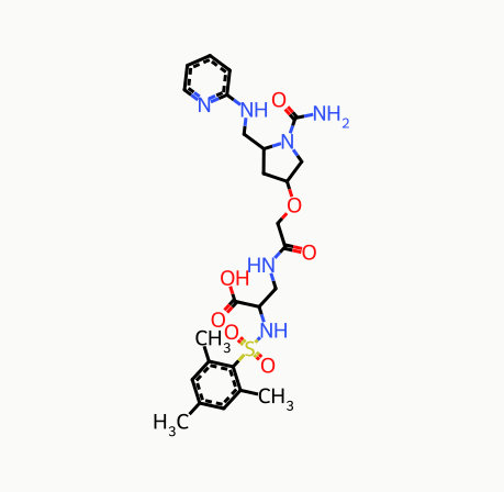 Cc1cc(C)c(S(=O)(=O)NC(CNC(=O)COC2CC(CNc3ccccn3)N(C(N)=O)C2)C(=O)O)c(C)c1